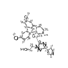 COc1ccc(C(OCc2nc(-c3cncs3)nn2CCO)(c2ccccc2)c2ccc(OC)cc2)cc1